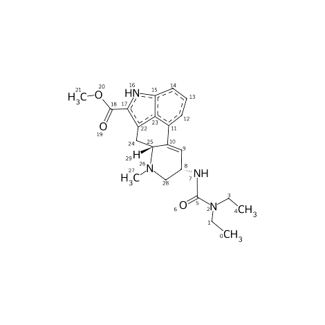 CCN(CC)C(=O)N[C@H]1C=C2c3cccc4[nH]c(C(=O)OC)c(c34)C[C@H]2N(C)C1